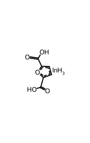 O=C(O)c1ccc(C(=O)O)o1.[InH3]